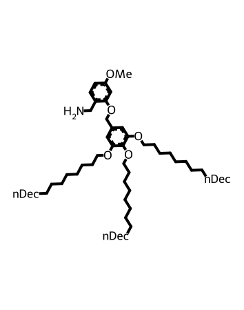 CCCCCCCCCCCCCCCCCCOc1cc(COc2cc(OC)ccc2CN)cc(OCCCCCCCCCCCCCCCCCC)c1OCCCCCCCCCCCCCCCCCC